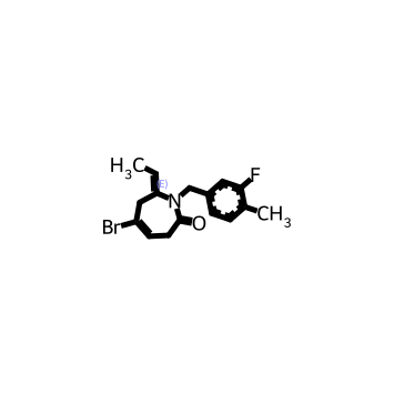 C/C=C1\CC(Br)=CCC(=O)N1Cc1ccc(C)c(F)c1